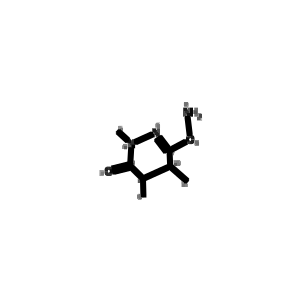 CC1C(=O)N(C)N=C(ON)C1C